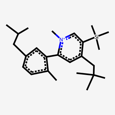 Cc1ccc(CC(C)C)cc1-c1cc(CC(C)(C)C)c([Si](C)(C)C)c[n+]1C